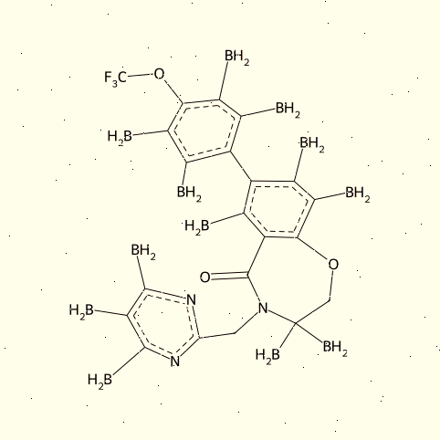 Bc1nc(CN2C(=O)c3c(B)c(-c4c(B)c(B)c(OC(F)(F)F)c(B)c4B)c(B)c(B)c3OCC2(B)B)nc(B)c1B